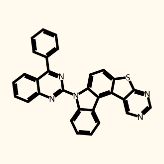 c1ccc(-c2nc(-n3c4ccccc4c4c5c(ccc43)sc3ncncc35)nc3ccccc23)cc1